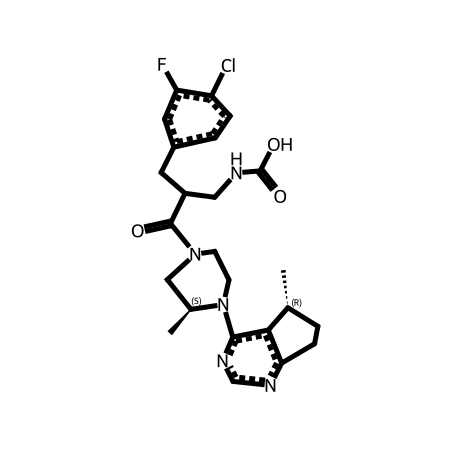 C[C@@H]1CCc2ncnc(N3CCN(C(=O)C(CNC(=O)O)Cc4ccc(Cl)c(F)c4)C[C@@H]3C)c21